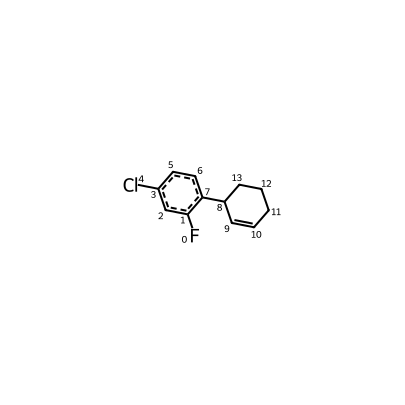 Fc1cc(Cl)ccc1C1C=CCCC1